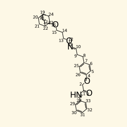 O=C(COc1ccc(CCC=NOCCCOC2CC3CCC2CC3)cc1)Nc1ccccc1